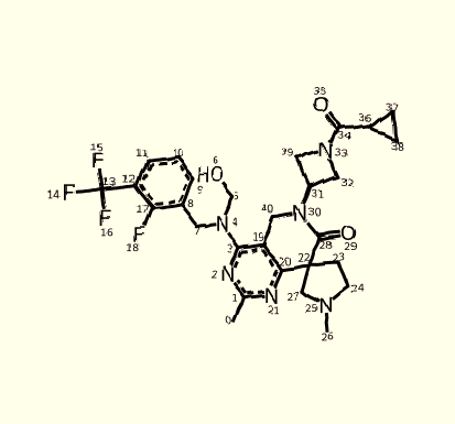 Cc1nc(N(CO)Cc2cccc(C(F)(F)F)c2F)c2c(n1)C1(CCN(C)C1)C(=O)N(C1CN(C(=O)C3CC3)C1)C2